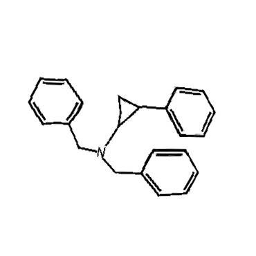 c1ccc(CN(Cc2ccccc2)C2CC2c2ccccc2)cc1